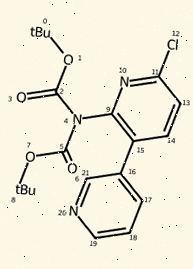 CC(C)(C)OC(=O)N(C(=O)OC(C)(C)C)c1nc(Cl)ccc1-c1cccnc1